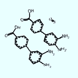 Nc1ccc(-c2ccc(C(=O)O)cc2)cc1N.Nc1ccc(-c2ccc(C(=O)O)cc2)cc1N.O=S